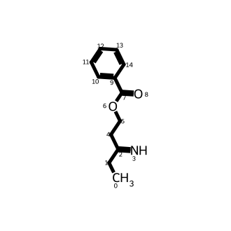 CCC(=N)CCOC(=O)c1ccccc1